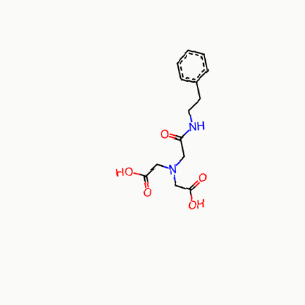 O=C(O)CN(CC(=O)O)CC(=O)NCCc1ccccc1